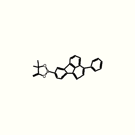 C=C1OB(c2ccc3c(c2)-c2cccc4c(-c5ccccc5)ccc-3c24)OC1(C)C